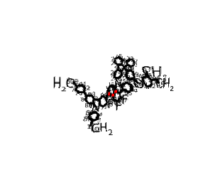 C=Cc1ccc(N2C3=C(CC(C4=CC=C(N(C5=CC6C(C=C5)C5CCC=CC5C6(C5=CCCC=C5)C5=CC=C(OC6CCC(C=C)C(C)C6)CC5)C5CC=CC=C5C5C(F)=C(F)C(F)C(F)C5F)CC4)CC3)C3CC(C4C=CC(C=C)CC4)CCC32)cc1